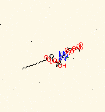 C#C[C@]1(COC(=O)c2ccccc2OC(=O)CCCCCCCCCCCCCCC)O[C@@H](n2cnc3c(NC(=O)OC(C)(C)CC(=O)OCc4oc(=O)oc4C)nc(F)nc32)C[C@@H]1O